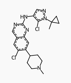 CN1CCC(c2cc3nc(Nc4cnn(C5(C)CC5)c4Cl)ncc3cc2Cl)CC1